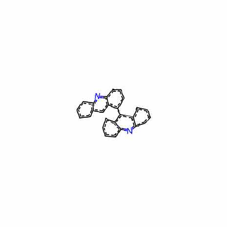 c1ccc2nc3cccc(-c4c5ccccc5nc5ccccc45)c3cc2c1